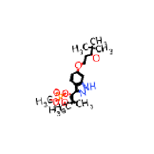 COP(=O)(OC)OC(=C(C)C)c1n[nH]c2cc(OCCC(=O)C(C)(C)C)ccc12